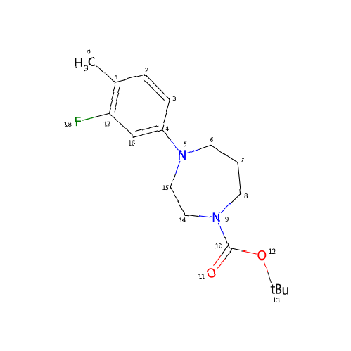 Cc1ccc(N2CCCN(C(=O)OC(C)(C)C)CC2)cc1F